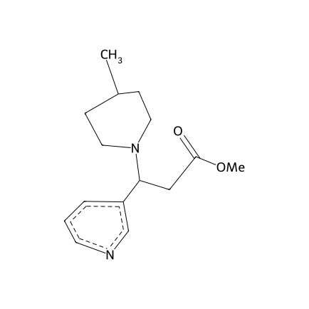 COC(=O)CC(c1cccnc1)N1CCC(C)CC1